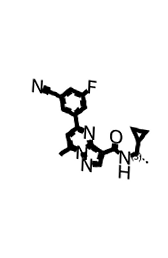 Cc1cc(-c2cc(F)cc(C#N)c2)nc2c(C(=O)N[C@@H](C)C3CC3)cnn12